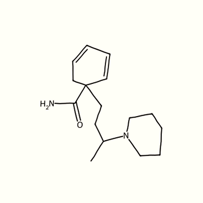 CC(CCC1(C(N)=O)C=CC=CC1)N1CCCCC1